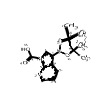 CC1(C)OB(c2cn(C(=O)O)c3ncccc23)OC1(C)C